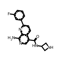 Nc1ncc(C(=O)NC2CNC2)c2ccc(-c3cccc(F)c3)nc12